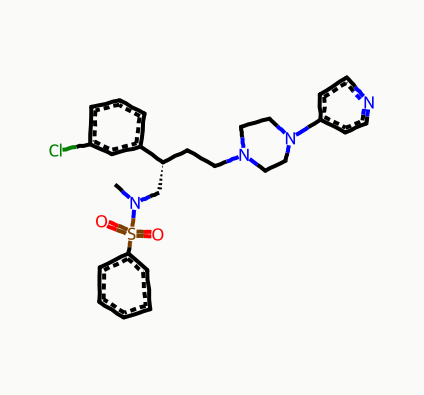 CN(C[C@@H](CCN1CCN(c2ccncc2)CC1)c1cccc(Cl)c1)S(=O)(=O)c1ccccc1